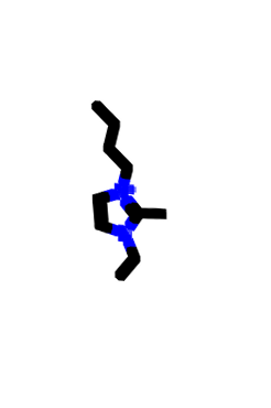 CCCC[n+]1ccn(CC)c1C